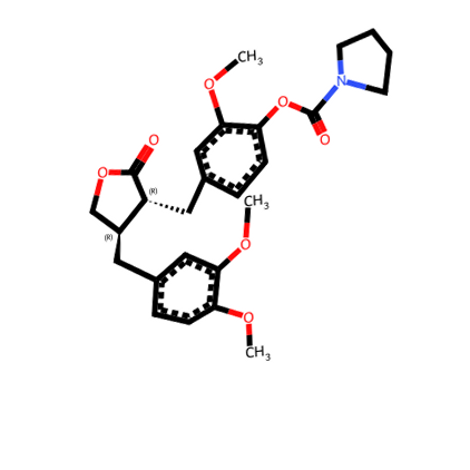 COc1ccc(C[C@H]2COC(=O)[C@@H]2Cc2ccc(OC(=O)N3CCCC3)c(OC)c2)cc1OC